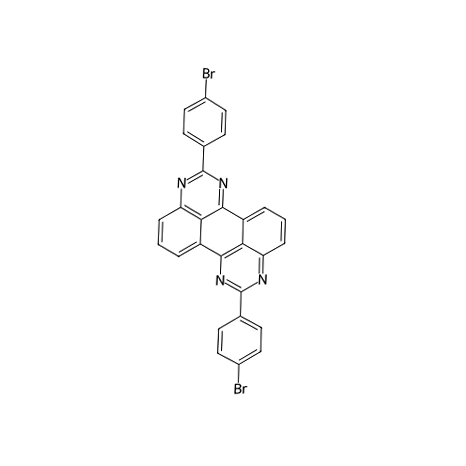 Brc1ccc(-c2nc3cccc4c5nc(-c6ccc(Br)cc6)nc6cccc(c(n2)c34)c65)cc1